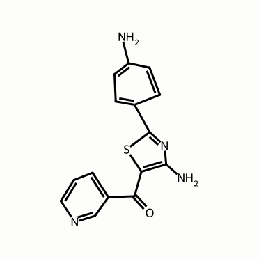 Nc1ccc(-c2nc(N)c(C(=O)c3cccnc3)s2)cc1